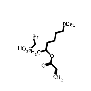 C=CC(=O)OC(C)CCCCCCCCCCCCCC.CC(C)CS(=O)(=O)O